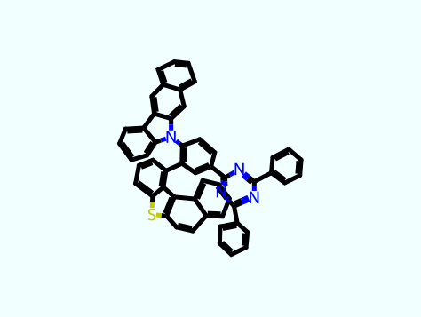 c1ccc(-c2nc(-c3ccccc3)nc(-c3ccc(-n4c5ccccc5c5cc6ccccc6cc54)c(-c4cccc5sc6ccc7ccccc7c6c45)c3)n2)cc1